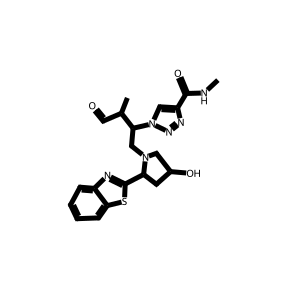 CNC(=O)c1cn(C(CN2CC(O)CC2c2nc3ccccc3s2)C(C)C=O)nn1